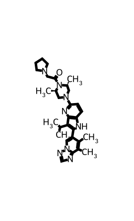 Cc1c(-c2[nH]c3ccc(N4C[C@@H](C)N(C(=O)CN5CCCC5)[C@H](C)C4)nc3c2C(C)C)cn2ncnc2c1C